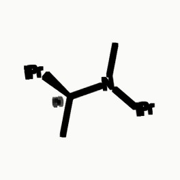 CC(C)[C@H](C)N(C)C(C)C